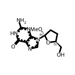 CO[C@]1(n2cnc3c(=O)[nH]c(N)nc32)CC[C@@H](CO)O1